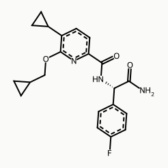 NC(=O)[C@@H](NC(=O)c1ccc(C2CC2)c(OCC2CC2)n1)c1ccc(F)cc1